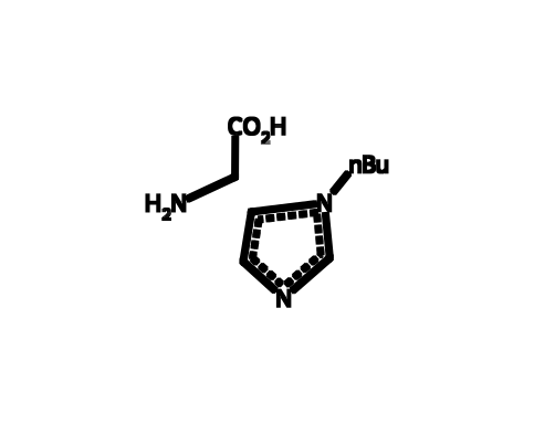 CCCCn1ccnc1.NCC(=O)O